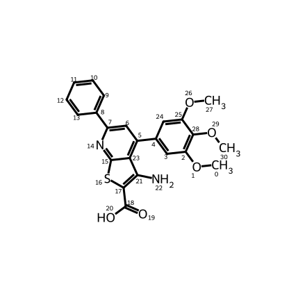 COc1cc(-c2cc(-c3ccccc3)nc3sc(C(=O)O)c(N)c23)cc(OC)c1OC